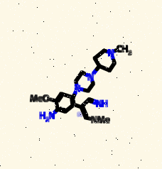 CN/C=C(\C=N)c1cc(N)c(OC)cc1N1CCN(C2CCN(C)CC2)CC1